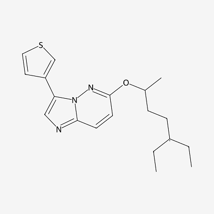 CC[C](CC)CCC(C)Oc1ccc2ncc(-c3ccsc3)n2n1